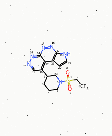 O=S(=O)(CC(F)(F)F)N1CCCC(c2cnnc3nnc4[nH]ccc4c23)C1